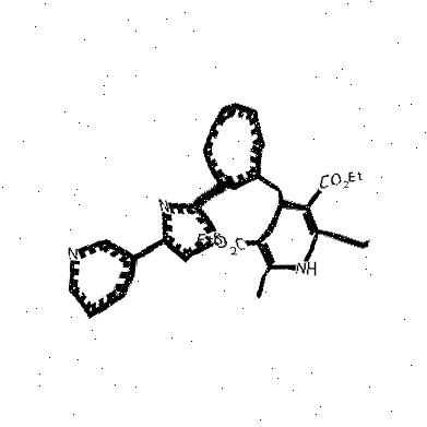 CCOC(=O)C1=C(C)NC(C)=C(C(=O)OCC)C1c1ccccc1-c1nc(-c2cccnc2)cs1